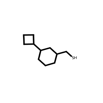 SCC1CCCC(C2CCC2)C1